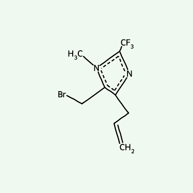 C=CCc1nc(C(F)(F)F)n(C)c1CBr